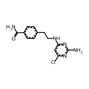 NC(=O)c1ccc(CCNc2cc(Cl)nc(N)n2)cc1